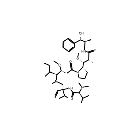 CCC(C)[C@@H]([C@@H](CC(=O)N1CCC[C@H]1[C@H](OC)[C@@H](C)C(=O)N[C@H](C)[C@@H](O)c1ccccc1)OC)N(C)C[C@](C=O)(NC(=O)[C@H](C(C)C)N(C)C)C(C)C